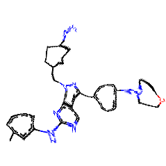 Cc1cccc(Nc2ncc3c(-c4ccc(N5CCOCC5)cc4)nn(CC4CCC(N)CC4)c3n2)c1